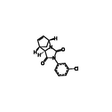 O=C1[C@H]2[C@@H]3C=C[C@@H](C3)N2C(=O)N1c1cccc(Cl)c1